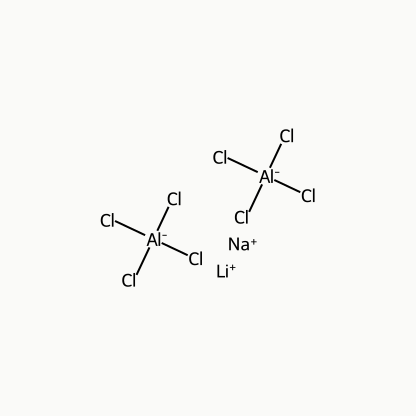 [Cl][Al-]([Cl])([Cl])[Cl].[Cl][Al-]([Cl])([Cl])[Cl].[Li+].[Na+]